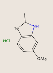 COc1ccc2c(c1)NC(C)[Te]2.Cl